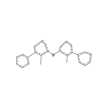 Cc1c([B]c2cccc(-c3ccccc3)c2C)cccc1-c1ccccc1